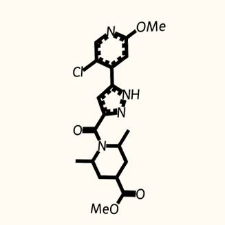 COC(=O)C1CC(C)N(C(=O)c2cc(-c3cc(OC)ncc3Cl)[nH]n2)C(C)C1